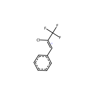 FC(F)(F)/C(Cl)=C/c1ccccc1